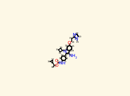 CC(OC(=O)Nc1ccc(-c2c(N)c3ccc(OCCc4nccn4C)cc3n2C2CCC2)cc1)C1CC1